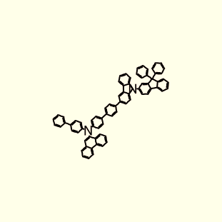 c1ccc(-c2ccc(N(c3ccc(-c4ccc(-c5ccc6c(c5)c5ccccc5n6-c5ccc6c(c5)C(c5ccccc5)(c5ccccc5)c5ccccc5-6)cc4)cc3)c3cc4ccccc4c4ccccc34)cc2)cc1